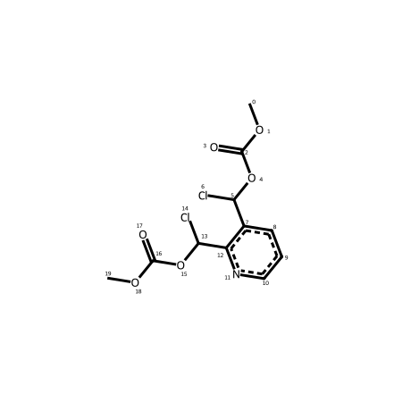 COC(=O)OC(Cl)c1cccnc1C(Cl)OC(=O)OC